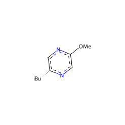 CC[C@@H](C)c1cnc(OC)cn1